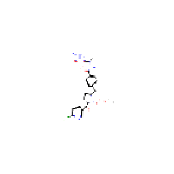 CC(C)C(c1nn(C)c(=O)o1)N(C)C(=O)c1ccc(CC2CC[C@H]([C@H](O)c3ccc(Cl)nc3)N2C(=O)OC(C)(C)C)cc1